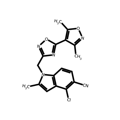 Cc1noc(C)c1-c1nc(Cn2c(C)cc3c(Cl)c(C#N)ccc32)no1